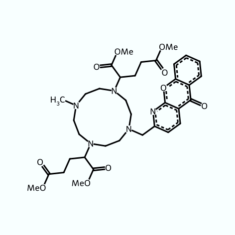 COC(=O)CCC(C(=O)OC)N1CCN(C)CCN(C(CCC(=O)OC)C(=O)OC)CCN(Cc2ccc3c(=O)c4ccccc4oc3n2)CC1